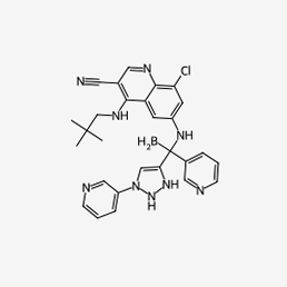 BC(Nc1cc(Cl)c2ncc(C#N)c(NCC(C)(C)C)c2c1)(C1=CN(c2cccnc2)NN1)c1cccnc1